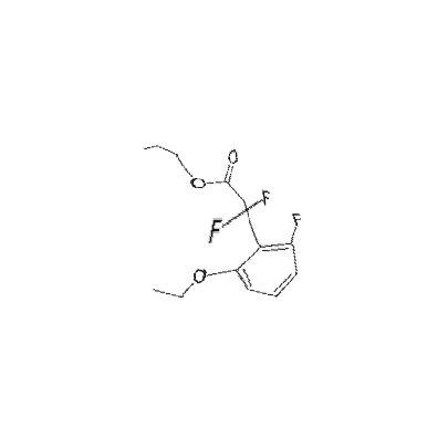 CCOC(=O)C(F)(F)c1c(F)cccc1OCC